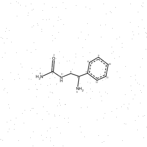 NC(=O)NCC(N)c1ccccc1